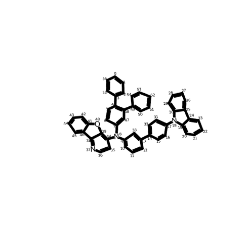 c1ccc(-c2ccc(N(c3cccc(-c4ccc(-n5c6ccccc6c6ccccc65)cc4)c3)c3ccnc4c3oc3ccccc34)cc2-c2ccccc2)cc1